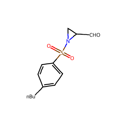 CCCCc1ccc(S(=O)(=O)N2CC2C=O)cc1